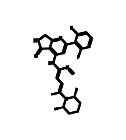 C=N/C(=C\C=C(/C)N1[C@H](C)CCC[C@@H]1C)Nc1cc(-c2c(F)cccc2F)nc2c1C(=O)NC2